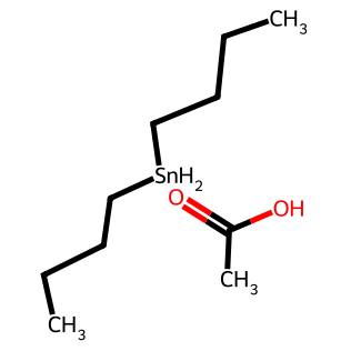 CC(=O)O.CCC[CH2][SnH2][CH2]CCC